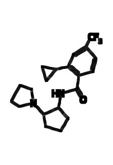 O=C(NC1CCCC1N1CCCC1)c1ccc(C(F)(F)F)cc1C1CC1